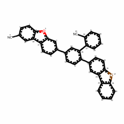 N#Cc1ccc2oc3cc(-c4ccc(-c5ccc6sc7ccccc7c6c5)c(-c5ccccc5C#N)c4)ccc3c2c1